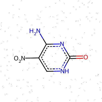 Nc1nc(=O)[nH]cc1[N+](=O)[O-]